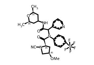 CO[C@@H]1C[C@H](C(=O)N(c2ccc(S(F)(F)(F)(F)F)cc2)C(C(=O)NC2C[C@@H](C)O[C@@H](C)C2)c2cccnc2)N(C#N)C1